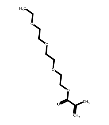 C=C(C)C(=O)OCCOCCOCCOCC